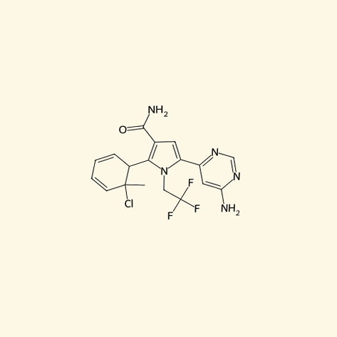 CC1(Cl)C=CC=CC1c1c(C(N)=O)cc(-c2cc(N)ncn2)n1CC(F)(F)F